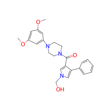 COc1cc(OC)cc(N2CCN(C(=O)c3cn(CO)cc3-c3ccccc3)CC2)c1